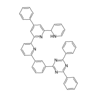 C1=CNC(c2cc(-c3ccccc3)cc(-c3cccc(-c4cccc(-c5nc(-c6ccccc6)nc(-c6ccccc6)n5)c4)n3)n2)C=C1